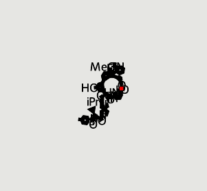 CCn1c(-c2cccnc2[C@H](C)OC)c2c3cc(ccc31)-c1cc(O)cc(c1)C[C@H](NC(=O)[C@H](C(C)C)N1CC[C@]3(CCN(C(=O)[C@H]4[C@@H](C5CC5)N4[S@+]([O-])c4ccc(C)cc4)C3)C1)C(=O)N1CCC[C@H](N1)C(=O)OCC(C)(C)C2